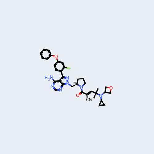 CC(C)(C=C(C#N)C(=O)N1CCC[C@@H]1Cn1nc(-c2ccc(Oc3ccccc3)cc2F)c2c(N)ncnc21)N(C1CC1)C1COC1